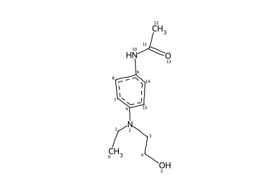 CCN(CCO)c1ccc(NC(C)=O)cc1